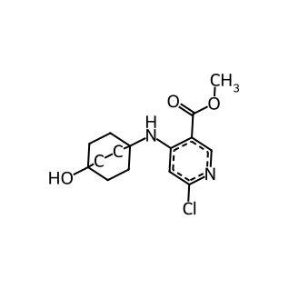 COC(=O)c1cnc(Cl)cc1NC12CCC(O)(CC1)CC2